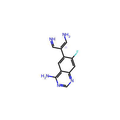 N=C/C(=C\N)c1cc2c(N)ncnc2cc1F